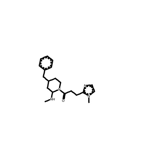 CNC1CC(Cc2ccccc2)CCN1C(=O)CCc1nccn1C